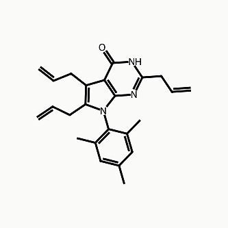 C=CCc1nc2c(c(CC=C)c(CC=C)n2-c2c(C)cc(C)cc2C)c(=O)[nH]1